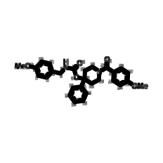 COc1ccc(CNC(=O)OC2(c3ccccc3)CCN(C(=O)c3ccc(OC)cc3)CC2)cc1